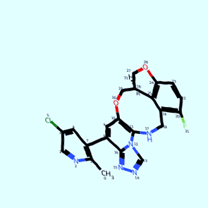 Cc1ncc(Cl)cc1-c1cc2c(n3cnnc13)NCc1c(F)ccc3c1[C@H](CO3)CO2